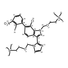 C[Si](C)(C)CCOCn1ccnc1-c1nn(COCC[Si](C)(C)C)c2c(Cl)c(-c3cccc([N+](=O)[O-])c3F)ccc12